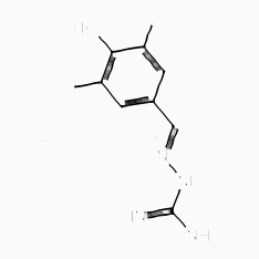 Cl.N=C(N)N/N=C/c1cc(Br)c(O)c(Br)c1